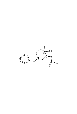 CC(=O)O[C@H]1CN(Cc2ccccc2)CC[C@]1(C)O